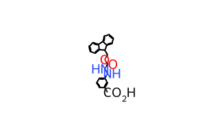 O=C(NNc1cccc(C(=O)O)c1)OCC1c2ccccc2-c2ccccc21